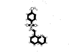 Cc1ccc(S(=O)(=O)/N=C/c2cccc3cccnc23)cc1